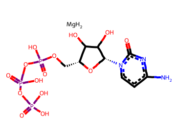 Nc1ccn([C@@H]2O[C@H](COP(=O)(O)OP(=O)(O)OP(=O)(O)O)C(O)C2O)c(=O)n1.[MgH2]